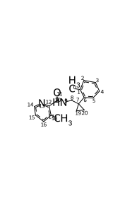 Cc1ccccc1C1(CNC(=O)c2ncccc2C)CC1